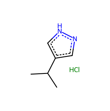 CC(C)c1cn[nH]c1.Cl